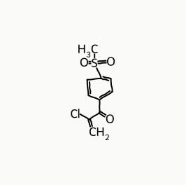 C=C(Cl)C(=O)c1ccc(S(C)(=O)=O)cc1